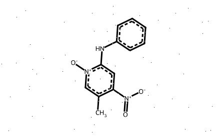 Cc1c[n+]([O-])c(Nc2ccccc2)cc1[N+](=O)[O-]